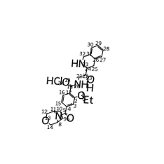 CCOc1cc(C(=O)N2C3CCC2COC3)ccc1C(=O)NCC(O)C1Cc2ccccc2CN1.Cl